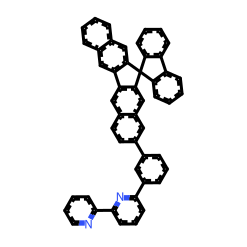 c1ccc(-c2cccc(-c3cccc(-c4ccc5cc6c(cc5c4)C4(c5ccccc5-c5ccccc54)c4cc5ccccc5cc4-6)c3)n2)nc1